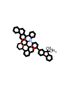 CC1(C)c2ccccc2-c2ccc(-c3ccc(N(c4ccccc4-c4cccc5c4ccc4ccccc45)c4ccccc4-c4cccc5cccc(C6CCCCC6)c45)cc3)cc21